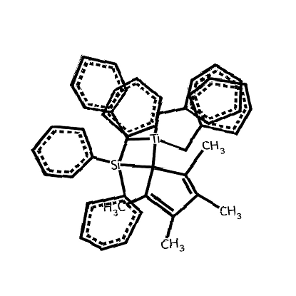 CC1=C(C)[C]([Si](c2ccccc2)(c2ccccc2)c2ccccc2)([Ti]([CH2]c2ccccc2)([CH2]c2ccccc2)[CH2]c2ccccc2)C(C)=C1C